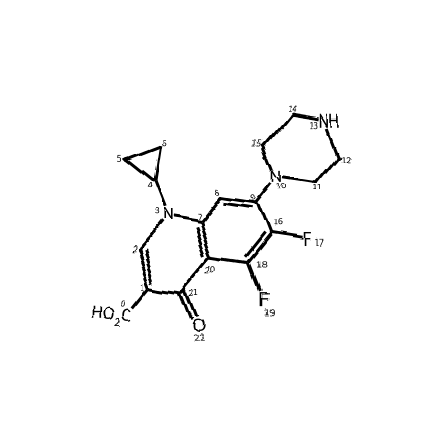 O=C(O)c1cn(C2CC2)c2cc(N3CCNCC3)c(F)c(F)c2c1=O